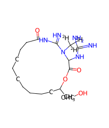 O=CO.[2H]C([2H])([2H])N1C(=N)NC(=O)CCCCCCCCCC(C)OC(=O)C1NC(=N)N